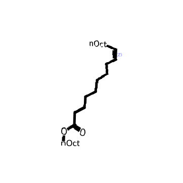 CCCCCCCC/C=C\CCCCCCCC(=O)OCCCCCCCC